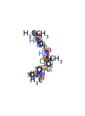 COc1nc2c(OCc3c(Cl)ccc(N(C)C(=O)CNC(=O)CCc4ccc(NC(=O)CN(C)C)nc4)c3Cl)cccc2n1Cc1ccccn1